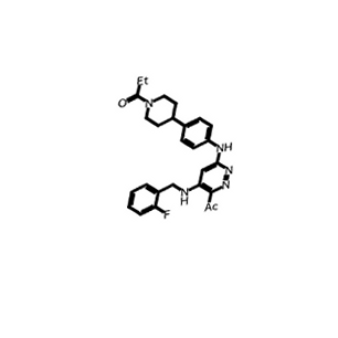 CCC(=O)N1CCC(c2ccc(Nc3cc(NCc4ccccc4F)c(C(C)=O)nn3)cc2)CC1